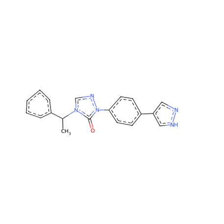 CC(c1ccccc1)n1cnn(-c2ccc(-c3cn[nH]c3)cc2)c1=O